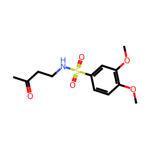 COc1ccc(S(=O)(=O)NCCC(C)=O)cc1OC